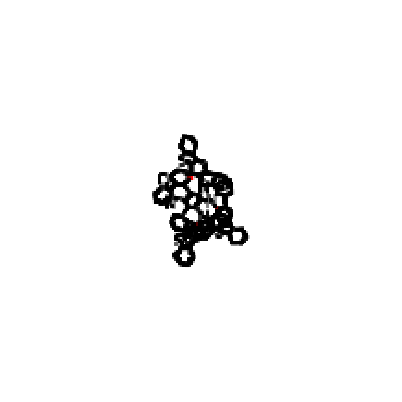 N#Cc1c(-c2cccc3oc4ccccc4c23)c(-n2c3ccccc3c3cc4c(cc32)sc2ccccc24)c(-n2c3ccccc3c3cc4c(cc32)sc2ccccc24)c(-n2c3ccccc3c3cc4c(cc32)sc2ccccc24)c1-c1cccc2oc3ccccc3c12